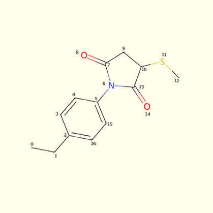 CCc1ccc(N2C(=O)CC(SC)C2=O)cc1